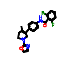 CC1=C(c2ccc(NC(=O)c3c(F)cccc3F)cc2)CN(c2ncco2)CC1